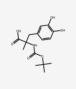 CC(C)(C)OC(=O)NC(C)(Cc1ccc(O)c(O)c1)C(=O)O